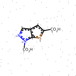 O=C(O)c1cc2cnn(C(=O)O)c2s1